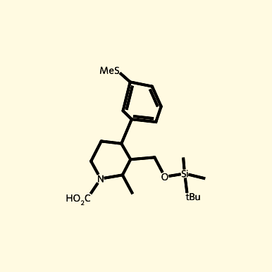 CSc1cccc(C2CCN(C(=O)O)C(C)C2CO[Si](C)(C)C(C)(C)C)c1